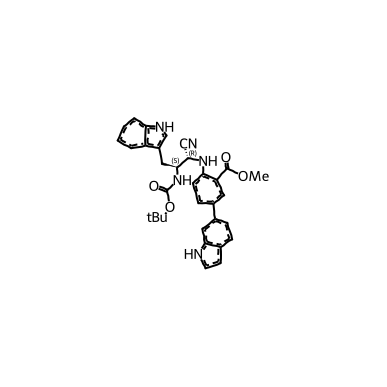 COC(=O)c1cc(-c2ccc3cc[nH]c3c2)ccc1N[C@@H](C#N)[C@H](Cc1c[nH]c2ccccc12)NC(=O)OC(C)(C)C